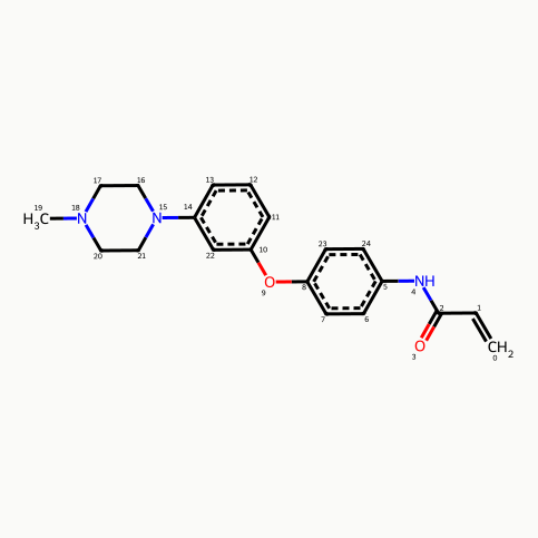 C=CC(=O)Nc1ccc(Oc2cccc(N3CCN(C)CC3)c2)cc1